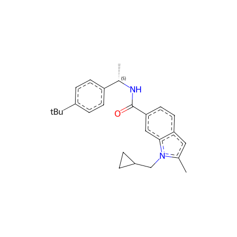 Cc1cc2ccc(C(=O)N[C@@H](C)c3ccc(C(C)(C)C)cc3)cc2n1CC1CC1